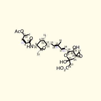 CC(=O)O[C@@H](C)/C=C\C(=O)N[C@@H]1C[C@H](C)[C@H](C/C=C(C)/C=C/[C@H]2OC(O)(CC(=O)O)C[C@@]3(CO3)[C@@H]2O)O[C@@H]1C